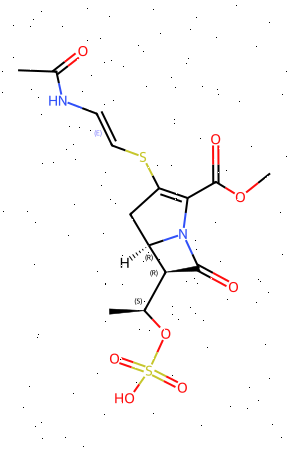 COC(=O)C1=C(S/C=C/NC(C)=O)C[C@@H]2[C@H]([C@H](C)OS(=O)(=O)O)C(=O)N12